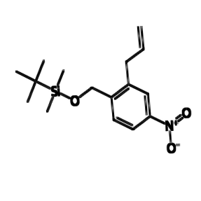 C=CCc1cc([N+](=O)[O-])ccc1CO[Si](C)(C)C(C)(C)C